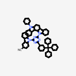 N#Cc1ccc2c(c1)c1ccccc1n2-c1nc(-c2cccc(C(c3ccccc3)(c3ccccc3)c3ccccc3)c2)nc(-n2c3ccccc3c3ccc4c(c5ccccc5n4-c4ccccc4)c32)n1